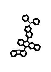 c1ccc(N(c2ccccc2)c2ccc3cc(-c4c5ccccc5c(-c5cccc6c5sc5ccccc56)c5cc6ccccc6cc45)ccc3c2)cc1